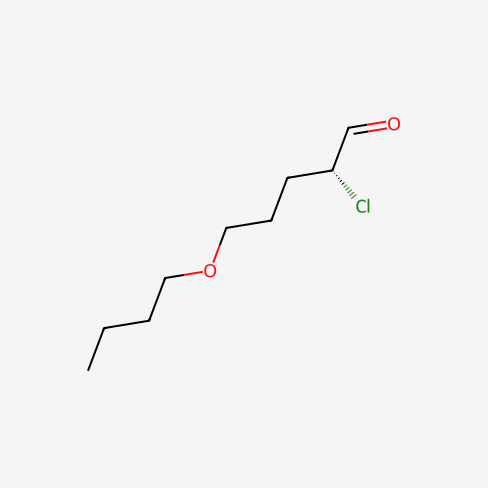 CCCCOCCC[C@@H](Cl)C=O